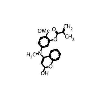 C=C(C)C(=O)Oc1cc(N(C)C2=CC(O)Oc3ccccc32)ccc1OC